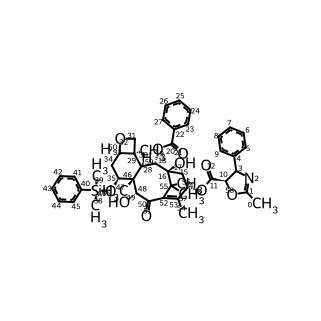 CC1=NC(c2ccccc2)[C@H](C(=O)O[C@H]2C[C@@]3(O)[C@@H](OC(=O)c4ccccc4)[C@@H]4[C@]5(C)CO[C@@H]5C[C@H](O[Si](C)(C)c5ccccc5)[C@@]4(C)[C@@H](O)C(=O)C(=C2C)C3(C)C)O1